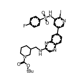 CC(C)(C)OC(=O)N1CCCC(CNc2cnc3ccc(-c4cnc(I)c(NS(=O)(=O)c5ccc(F)cc5)c4)cc3n2)C1